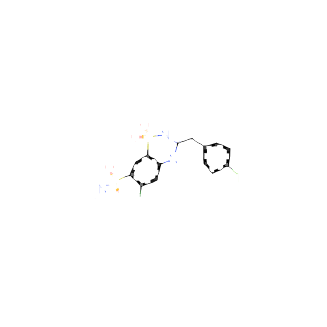 NS(=O)(=O)c1cc2c(cc1Cl)NC(Cc1ccc(F)cc1)NS2(=O)=O